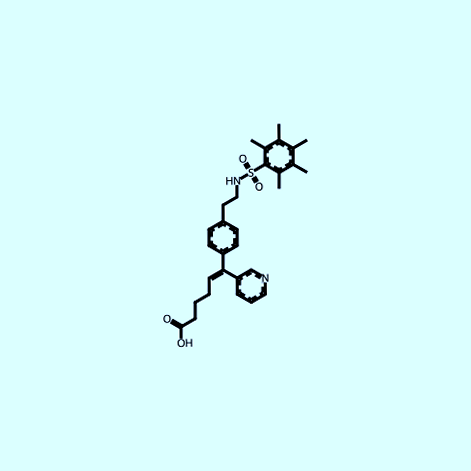 Cc1c(C)c(C)c(S(=O)(=O)NCCc2ccc(C(=CCCCC(=O)O)c3cccnc3)cc2)c(C)c1C